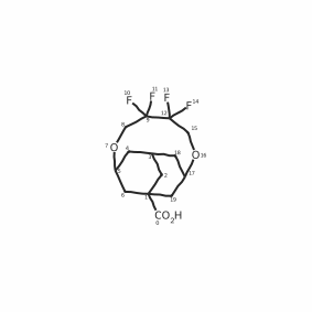 O=C(O)C12CC3CC(C1)OCC(F)(F)C(F)(F)COC(C3)C2